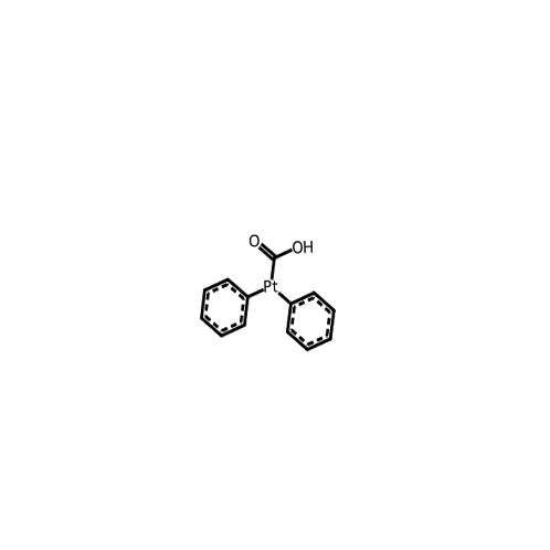 O=[C](O)[Pt]([c]1ccccc1)[c]1ccccc1